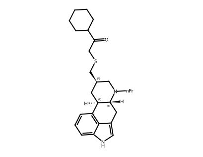 CCCN1C[C@H](CSCC(=O)C2CCCCC2)C[C@@H]2c3cccc4[nH]cc(c34)C[C@H]21